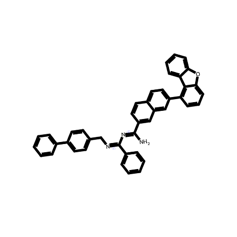 N/C(=N\C(=N/Cc1ccc(-c2ccccc2)cc1)c1ccccc1)c1ccc2ccc(-c3cccc4oc5ccccc5c34)cc2c1